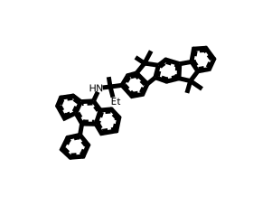 CCC(C)(Nc1c2ccccc2c(-c2ccccc2)c2ccccc12)c1ccc2c(c1)C(C)(C)c1cc3c(cc1-2)C(C)(C)c1ccccc1-3